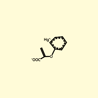 C=C(Oc1ccccc1)C(=O)[O-].[Hg+]